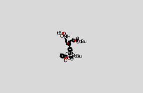 CC(C)(C)OC(=O)NCCCn1cc(-c2ccc(OC[C@H](ON3C(=O)c4ccccc4C3=O)C(=O)OC(C)(C)C)cc2)c[n+]1CC1CN(C(=O)OC(C)(C)C)C1